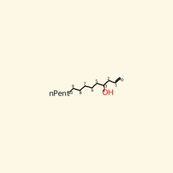 [CH]=CCC(O)CCCCCCCCCC